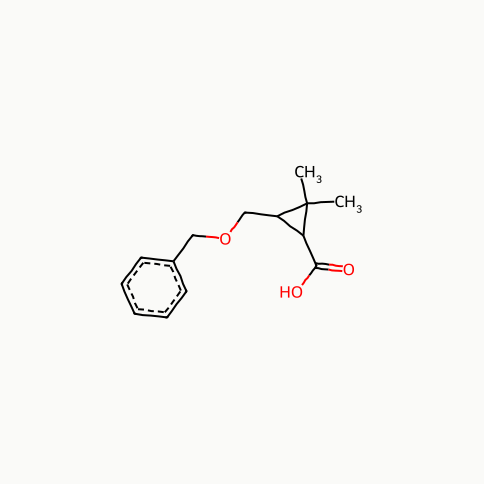 CC1(C)C(COCc2ccccc2)C1C(=O)O